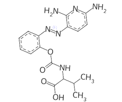 CC(C)C(NC(=O)Oc1ccccc1/N=N/c1ccc(N)nc1N)C(=O)O